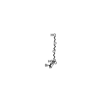 O=P(O)(OC=C(Br)Br)OCCCCOCCCCOCCCCO